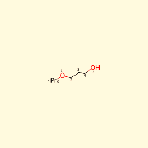 C[C](C)OCCCO